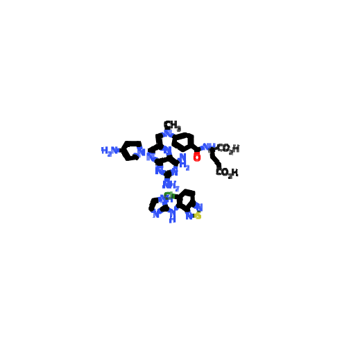 CN(Cc1cnc2nc(N)nc(N)c2n1)c1ccc(C(=O)N[C@@H](CCC(=O)O)C(=O)O)cc1.Clc1ccc2nsnc2c1NC1=NCCN1.Nc1ccncc1